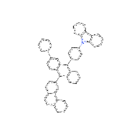 c1ccc(-c2ccc3c(-c4ccc5ccc6ccccc6c5c4)c4ccccc4c(-c4ccc(-n5c6ccccc6c6ccccc65)cc4)c3c2)cc1